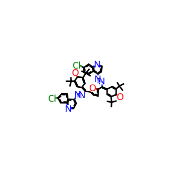 CC(C)(C)C1=CC(=C(/N=N/c2ccnc3cc(Cl)ccc23)c2ccc(C(/N=N/c3ccnc4cc(Cl)ccc34)=C3C=C(C(C)(C)C)C(=O)C(C(C)(C)C)=C3)o2)C=C(C(C)(C)C)C1=O